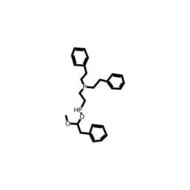 COC(Cc1ccccc1)OPCCP(CCc1ccccc1)CCc1ccccc1